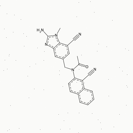 CC(=O)N(Cc1cc(C#N)c2c(c1)nc(N)n2C)c1ccc2ccccc2c1C#N